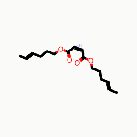 CC=CCCCOC(=O)/C=C\C(=O)OCCCC=CC